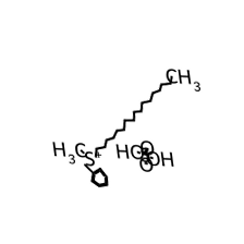 CCCCCCCCCCCCCCCCCC[S+](C)Cc1ccccc1.O=S(=O)(O)O